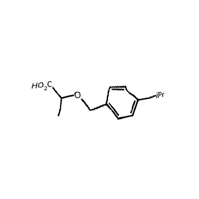 CC(OCc1ccc(C(C)C)cc1)C(=O)O